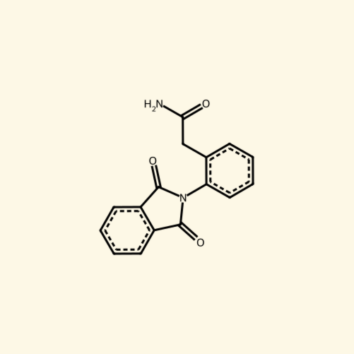 NC(=O)Cc1ccccc1N1C(=O)c2ccccc2C1=O